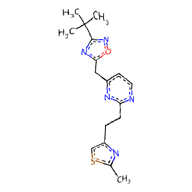 Cc1nc(CCc2nccc(Cc3nc(C(C)(C)C)no3)n2)cs1